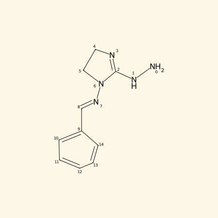 NNC1=NCCN1/N=C/c1ccccc1